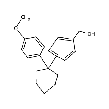 COc1ccc(C2(c3ccc(CO)cc3)CCCCC2)cc1